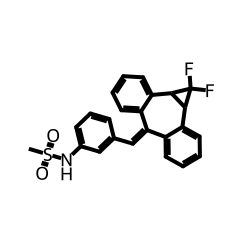 CS(=O)(=O)Nc1cccc(C=C2c3ccccc3C3C(c4ccccc42)C3(F)F)c1